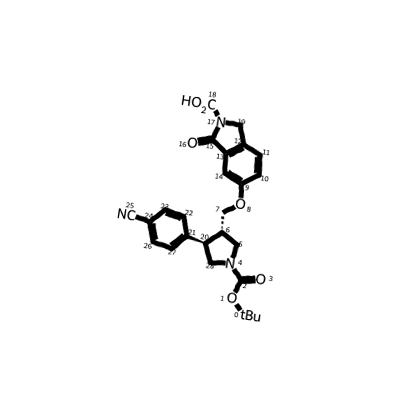 CC(C)(C)OC(=O)N1C[C@@H](COc2ccc3c(c2)C(=O)N(C(=O)O)C3)[C@H](c2ccc(C#N)cc2)C1